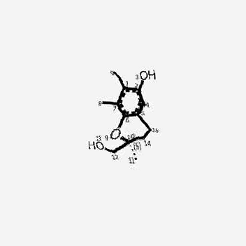 Cc1c(O)cc2c(c1C)O[C@](C)(CO)CC2